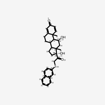 CC12C=CC(=O)C=C1CCC1C2[C@@H](O)CC2(C)C1CC[C@]2(O)C(=O)CSc1ccc2ccccc2c1